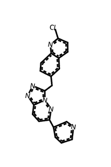 Clc1ccc2cc(Cc3nnc4ccc(-c5cccnc5)nn34)ccc2n1